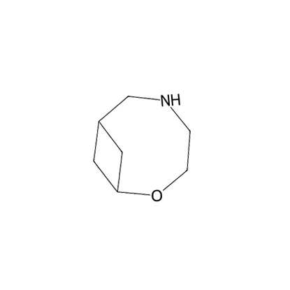 C1COC2CC(CN1)C2